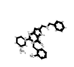 N#Cc1ccccc1Cn1c(N2CCC[C@@H](N)C2)nc2cc(COCc3ccccc3)sc2c1=O